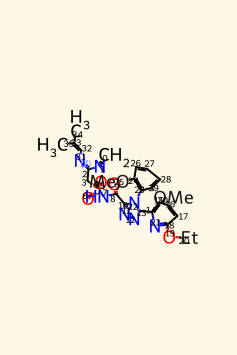 C=N/C(CS(=O)(=O)NC(=O)c1nnc(-c2cccc(OCC)n2)n1-c1c(OC)cccc1OC)=N\C=C(C)C